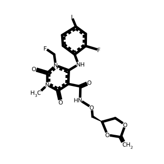 C=C1OC[C@H](CONC(=O)c2c(Nc3ccc(I)cc3F)n(CF)c(=O)n(C)c2=O)O1